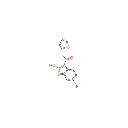 O=C(Cc1cccs1)c1c(O)sc2cc(F)ccc12